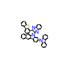 c1ccc2cc3c(cc2c1)c1ccc(-n2c4ccccc4c4ccccc42)cc1n3-c1nc2ccccc2nc1-c1cccc2c1sc1ccccc12